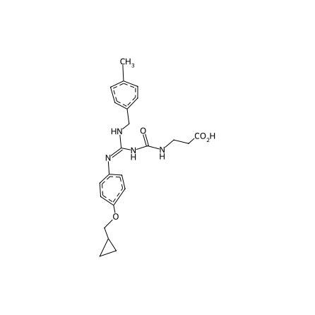 Cc1ccc(CN/C(=N/c2ccc(OCC3CC3)cc2)NC(=O)NCCC(=O)O)cc1